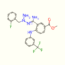 COC(=O)c1ccc(Nc2cccc(C(F)(F)F)c2)c(/C(N)=N/N(N)Cc2ccccc2F)c1